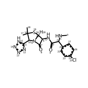 CNC(C(=O)NC1C(=O)N2C(c3nnn[nH]3)C(C)(C)S[C@@H]12)c1ccc(Cl)cc1